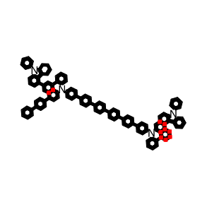 C1=Cc2c(n(-c3ccccc3)c3cccc(-c4cccc(-c5ccccc5N(c5ccc(-c6ccc(-c7ccccc7)cc6)cc5)c5ccc(-c6ccc(-c7ccc(-c8ccc(-c9ccc(-c%10ccc(N(c%11ccccc%11-c%11cccc(-c%12cccc%13c%12c%12ccccc%12n%13-c%12ccccc%12)c%11)c%11cccc%12ccccc%11%12)cc%10)cc9)cc8)cc7)cc6)cc5)c4)c23)CC1